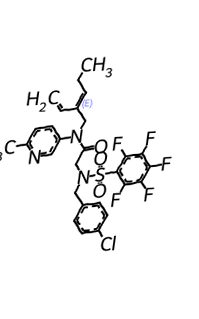 C=C/C(=C\CC)CN(C(=O)CN(Cc1ccc(Cl)cc1)S(=O)(=O)c1c(F)c(F)c(F)c(F)c1F)c1ccc(C)nc1